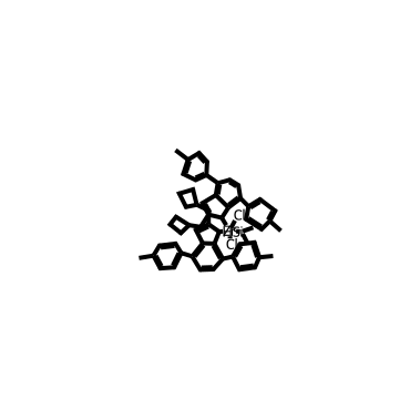 Cc1ccc(-c2ccc(-c3ccc(C)cc3)c3c2C=C(CC2CCC2)[CH]3[Zr]([Cl])([Cl])([CH]2C(CC3CCC3)=Cc3c(-c4ccc(C)cc4)ccc(-c4ccc(C)cc4)c32)[SiH](C)C)cc1